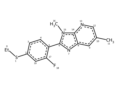 CCSc1ccc(-c2nc3cc(C)cnc3n2C)c(F)c1